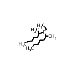 CCCCCC(C)P(CC)C(C)CCCCC